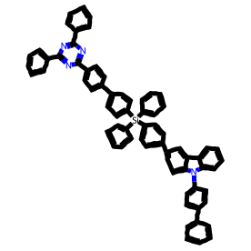 c1ccc(-c2ccc(-n3c4ccccc4c4cc(-c5ccc([Si](c6ccccc6)(c6ccccc6)c6ccc(-c7ccc(-c8nc(-c9ccccc9)nc(-c9ccccc9)n8)cc7)cc6)cc5)ccc43)cc2)cc1